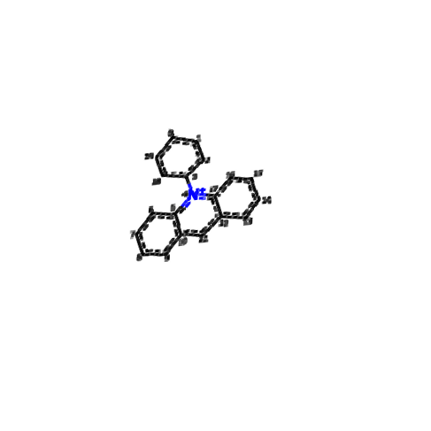 c1ccc(-[n+]2c3ccccc3cc3ccccc32)cc1